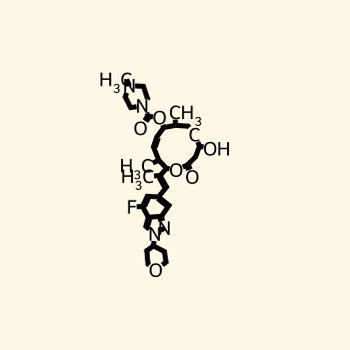 C/C(=C\c1cc(F)c2cn(C3CCOCC3)nc2c1)C1OC(=O)CC(O)CCC(C)C(OC(=O)N2CCN(C)CC2)C=CC1C